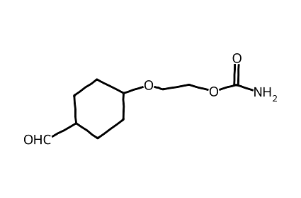 NC(=O)OCCOC1CCC(C=O)CC1